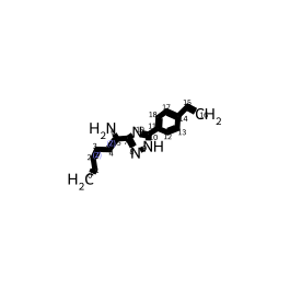 C=C/C=C\C=C(/N)c1n[nH]c(-c2ccc(C=C)cc2)n1